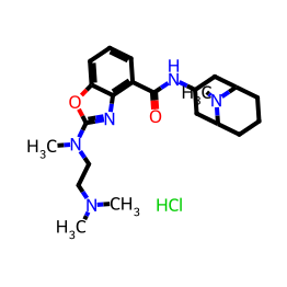 CN(C)CCN(C)c1nc2c(C(=O)NC3CC4CCCC(C3)N4C)cccc2o1.Cl